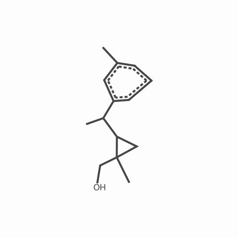 Cc1cccc(C(C)C2CC2(C)CO)c1